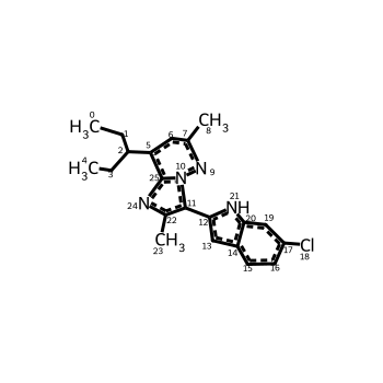 CCC(CC)c1cc(C)nn2c(-c3cc4ccc(Cl)cc4[nH]3)c(C)nc12